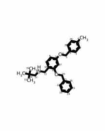 Cc1ccc(COc2ccc(CNCC(C)(C)C)c(OCc3ccccc3)c2)cc1